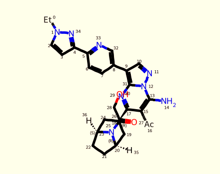 CCn1ccc(-c2ccc(-c3cnn4c(N)c(C(C)=O)c([C@H]5C[C@H]6CC[C@@H](C5)N6C(=O)CO)nc34)cn2)n1